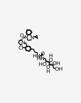 O=C(NCCCc1ccc(Cl)c(CN2CCC[C@H]2C(=O)N2CCN(C3CC3)c3ccccc32)c1)NC[C@H](O)[C@@H](O)[C@H](O)[C@H](O)CO